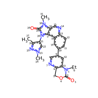 CCN1C(=O)OCc2ncc(-c3ccc4ncc5c(c4c3)n(-c3cn(C)nc3C)c(=O)n5C)cc21